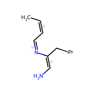 C\C=C/C=N\C(=C/N)CC(C)C